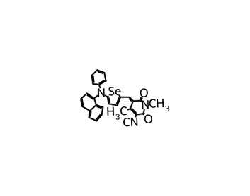 CC1=C(C#N)C(=O)N(C)C(=O)/C1=C/c1ccc(N(c2ccccc2)c2cccc3ccccc23)[se]1